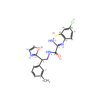 Cc1cccc(C(CNC(=O)C2=Nc3ccc(Cl)cc3SN2)c2ncco2)c1